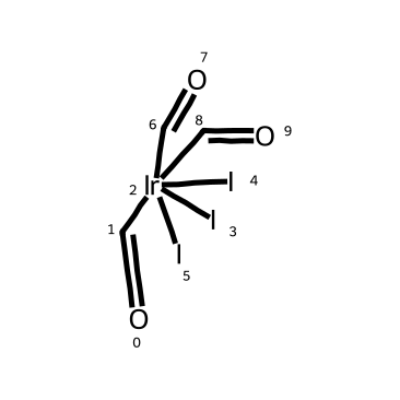 O=[CH][Ir]([I])([I])([I])([CH]=O)[CH]=O